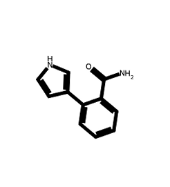 NC(=O)c1ccccc1-c1cc[nH]c1